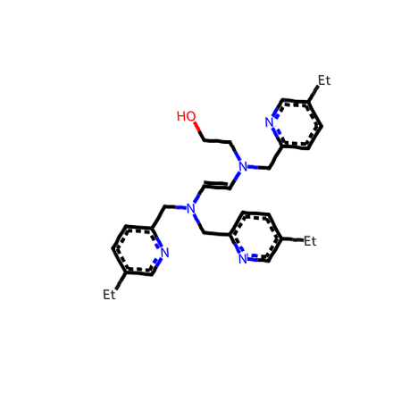 CCc1ccc(CN(C=CN(Cc2ccc(CC)cn2)Cc2ccc(CC)cn2)CCO)nc1